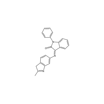 CC1=Nc2cc(/N=C3\C(=O)N(c4ccccc4)c4ccccc43)ccc2C1